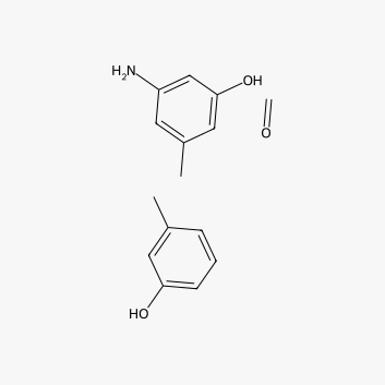 C=O.Cc1cc(N)cc(O)c1.Cc1cccc(O)c1